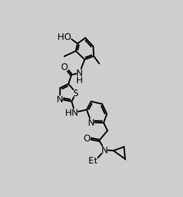 CCN(C(=O)Cc1cccc(Nc2ncc(C(=O)Nc3c(C)ccc(O)c3C)s2)n1)C1CC1